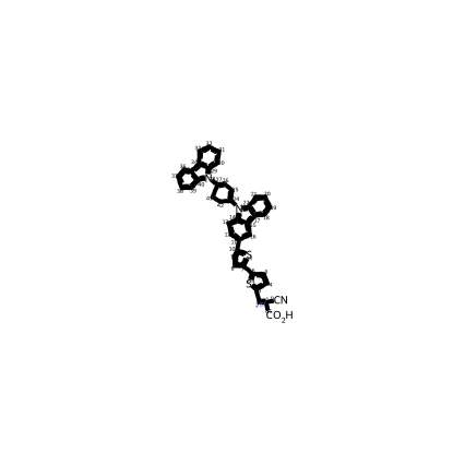 N#C/C(=C\c1ccc(-c2ccc(-c3ccc4c(c3)c3ccccc3n4C3=CC=C(n4c5ccccc5c5ccccc54)CC3)s2)s1)C(=O)O